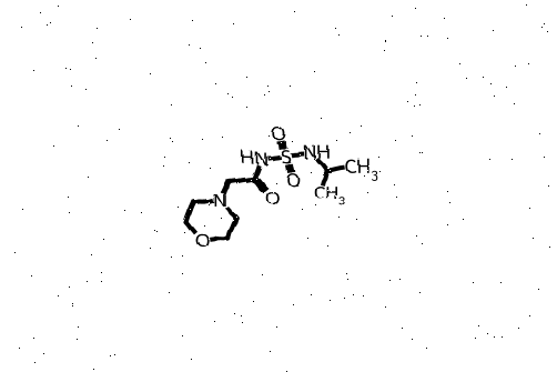 CC(C)NS(=O)(=O)NC(=O)CN1CCOCC1